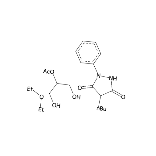 CC(=O)OC(CO)CO.CCCCC1C(=O)NN(c2ccccc2)C1=O.CCOCC